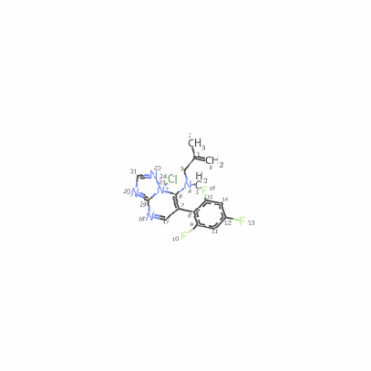 C=C(C)CN(C)C1=C(c2c(F)cc(F)cc2F)C=NC2=NC=N[N+]21Cl